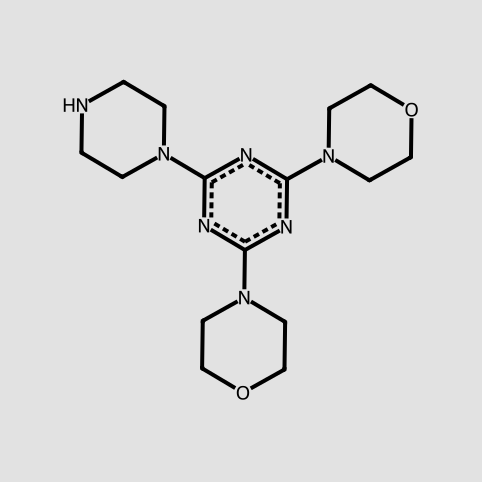 C1CN(c2nc(N3CCOCC3)nc(N3CCOCC3)n2)CCN1